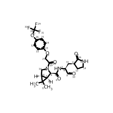 CC1(C)[C@@H]2[C@H](C(=O)N[C@H](C=O)C[C@@H]3CCNC3=O)N(C(=O)COc3ccc(OC(F)(F)F)cc3)C[C@@H]21